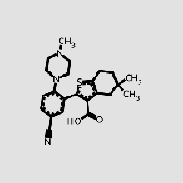 CN1CCN(c2ccc(C#N)cc2-c2sc3c(c2C(=O)O)CC(C)(C)CC3)CC1